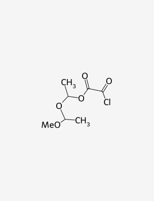 COC(C)OC(C)OC(=O)C(=O)Cl